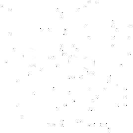 CC(C)(O)COc1ccc(-n2ccnc(OCCc3ccc(Cl)cc3)c2=O)cc1